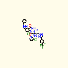 NC(=O)c1c(NC(=O)c2cc(Cn3ncc(-c4ccc(C(F)(F)F)cc4)n3)nn2-c2ncccc2Cl)c(Cl)cc2cn(Cc3ccccc3)nc12